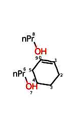 C1=CCCCC1.CCCO.CCCO